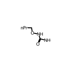 CCCCONC([NH])=O